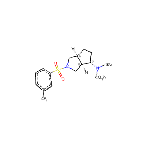 CC(C)(C)N(C(=O)O)[C@H]1CC[C@@H]2CN(S(=O)(=O)c3cccc(C(F)(F)F)c3)C[C@@H]21